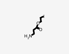 NCCC(=O)OCCI